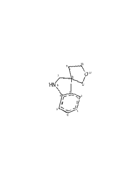 c1ccc2c(c1)NCC21CCOC1